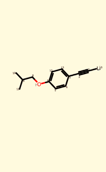 [Li][C]#Cc1ccc(OCC(C)C)cc1